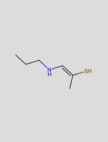 CCCN/C=C(\C)S